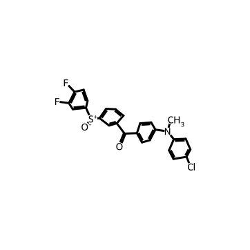 CN(c1ccc(Cl)cc1)c1ccc(C(=O)c2cccc([S+]([O-])c3ccc(F)c(F)c3)c2)cc1